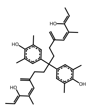 C=C(/C=C(C)\C(O)=C\C)CCC(CCC(=C)/C=C(C)\C(O)=C\C)(c1cc(C)c(O)c(C)c1)c1cc(C)c(O)c(C)c1